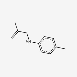 C=C(C)CNc1ccc(C)cc1